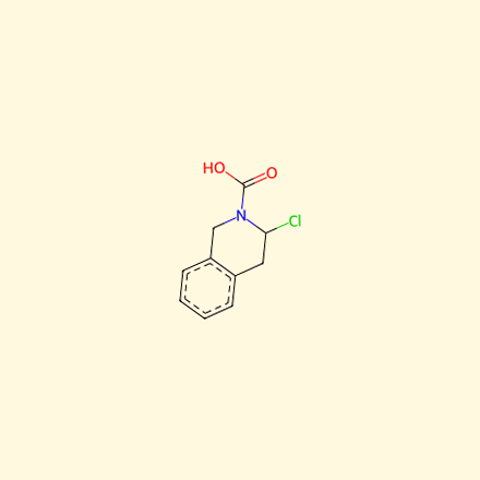 O=C(O)N1Cc2ccccc2CC1Cl